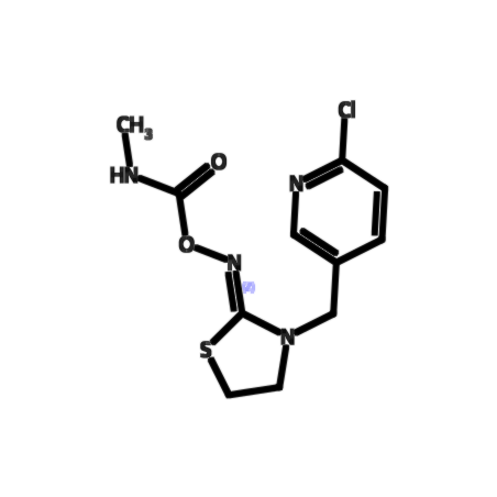 CNC(=O)O/N=C1\SCCN1Cc1ccc(Cl)nc1